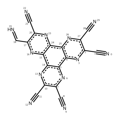 N#Cc1nc2c3nc(C#N)c(C#N)nc3c3nc(C=N)c(C#N)nc3c2nc1C#N